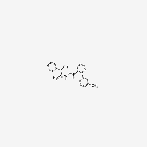 Cc1cccc(-c2ccccc2PCN[C@@H](C)C(O)c2ccccc2)c1